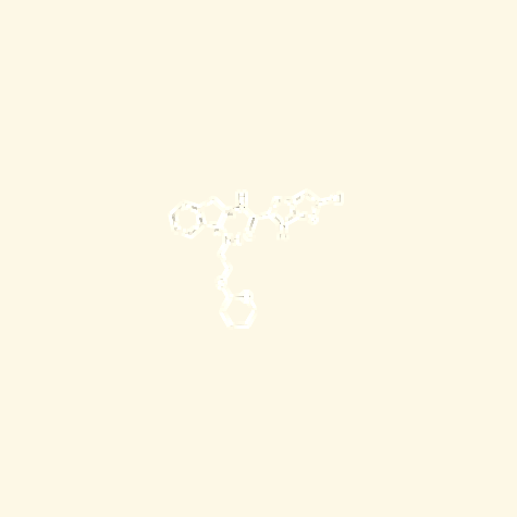 O=C(N[C@@H]1Cc2ccccc2[C@H]1NCCOC1CCCCO1)c1cc2cc(Cl)sc2[nH]1